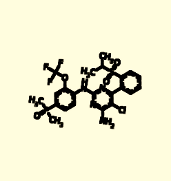 CC(C)S(=O)(=O)c1ccccc1-c1nc(Nc2ccc(P(C)(C)=O)cc2OC(F)(F)F)nc(N)c1Cl